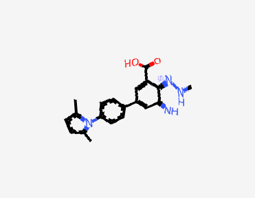 CN/N=C1\C(=N)C=C(c2ccc(-n3c(C)ccc3C)cc2)C=C1C(=O)O